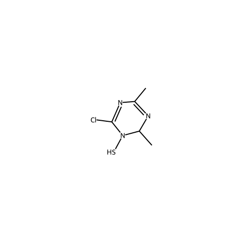 CC1=NC(C)N(S)C(Cl)=N1